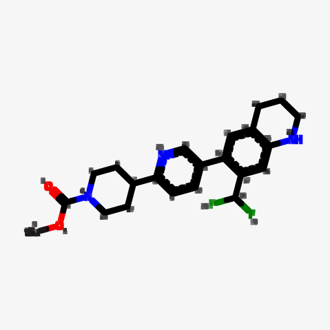 CC(C)(C)OC(=O)N1CCC(c2ccc(-c3cc4c(cc3C(F)F)NCCC4)cn2)CC1